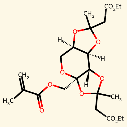 C=C(C)C(=O)OC[C@]12OC[C@H]3OC(C)(CC(=O)OCC)O[C@H]3[C@@H]1OC(C)(CC(=O)OCC)O2